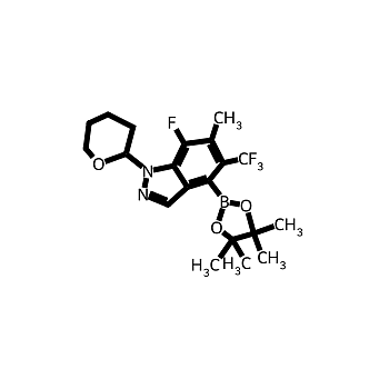 Cc1c(C(F)(F)F)c(B2OC(C)(C)C(C)(C)O2)c2cnn(C3CCCCO3)c2c1F